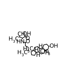 CC(C)C(NC(=O)CCC(C)[C@H]1CC[C@H]2[C@@H]3CC[C@@H]4C[C@H](O)CC[C@]4(C)[C@H]3CC[C@]12C)C(=O)O